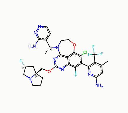 Cc1cc(N)nc(-c2c(Cl)c3c4c(nc(OC[C@@]56CCCN5C[C@H](F)C6)nc4c2F)N([C@H](C)c2ccnnc2N)CCO3)c1C(F)(F)F